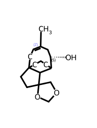 C/C1=C/CC23CCCC(C2C2(CC3)COCO2)[C@@H](O)C1